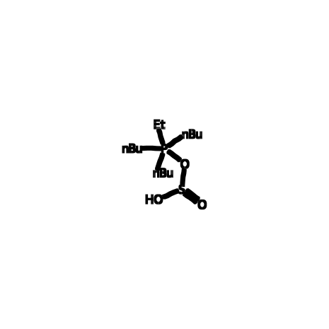 CCCCP(CC)(CCCC)(CCCC)OS(=O)O